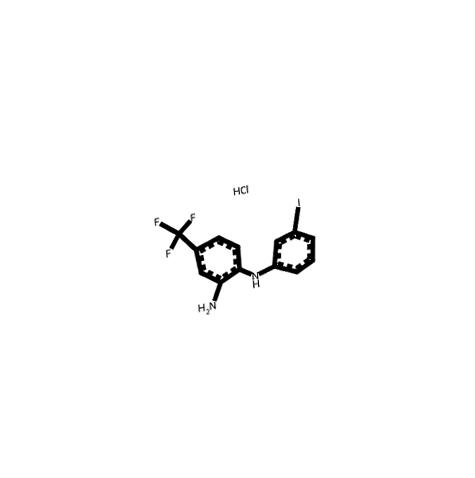 Cl.Nc1cc(C(F)(F)F)ccc1Nc1cccc(I)c1